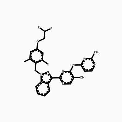 Cc1nccc(Nc2nc(-c3nn(Cc4c(F)cc(OCC(F)F)cc4F)c4ccccc34)ncc2O)n1